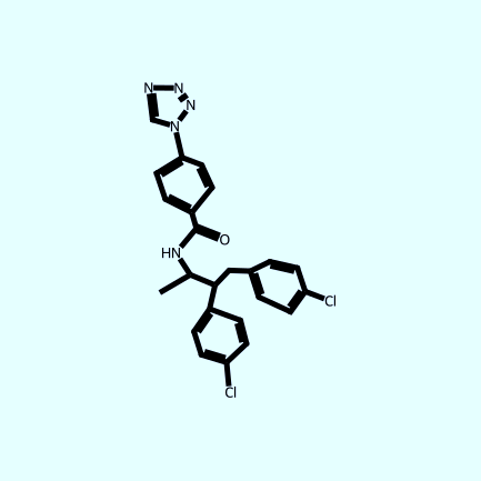 CC(NC(=O)c1ccc(-n2cnnn2)cc1)C(Cc1ccc(Cl)cc1)c1ccc(Cl)cc1